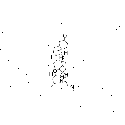 C[C@H]1C[C@H]2O[C@@]34CC[C@H]5[C@@H]6CCC7=CC(=O)CC[C@]7(C)[C@H]6CC56CC63C[C@@H]4[C@@H]2N(CCN(C)C)C1